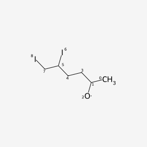 CC([O])CCC(I)CI